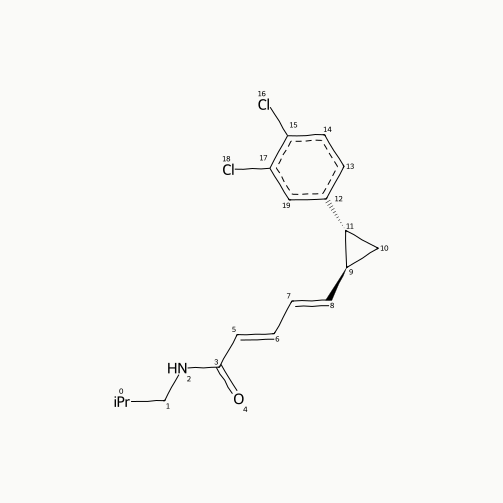 CC(C)CNC(=O)C=CC=C[C@@H]1C[C@H]1c1ccc(Cl)c(Cl)c1